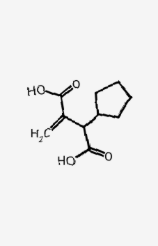 C=C(C(=O)O)C(C(=O)O)C1CCCC1